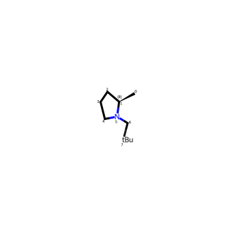 C[C@@H]1CCCN1CC(C)(C)C